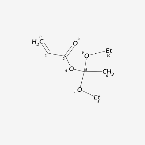 C=CC(=O)OC(C)(OCC)OCC